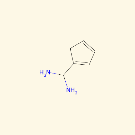 NC(N)C1=CC=CC1